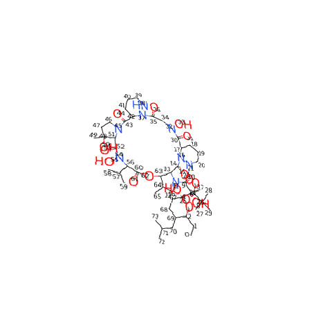 CCC1OC(O)(C(C)(O)C(=O)N(C)C2C(=O)N3C(CCCN3COC(=O)C(C)(C)C)C(=O)N(O)CC(=O)N3NCCCC3C(=O)N3CCC(C)(O)C3C(=O)N(O)C(C(C)C)C(=O)OC2C(C)C)CCC1CC(C)C